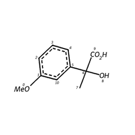 COc1cccc(C(C)(O)C(=O)O)c1